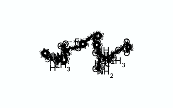 Cc1c(Nc2nc3ccccc3s2)nnc2c1CCCN2c1nc(C(=O)[O-])c(CCCOc2ccc(C#CC[N+]3(Cc4ccc(NC(=O)[C@H](CCCNC(N)=O)NC(=O)[C@@H](NC(=O)CCOCCN5C(=O)C=CC5=O)C(C)C)cc4)CCCCC3)cc2F)s1